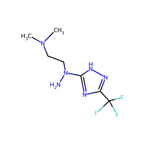 CN(C)CCN(N)c1nc(C(F)(F)F)n[nH]1